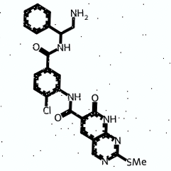 CSc1ncc2cc(C(=O)Nc3cc(C(=O)NC(CN)c4ccccc4)ccc3Cl)c(=O)[nH]c2n1